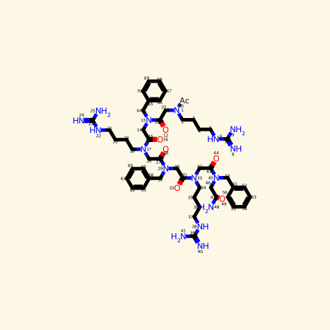 CC(=O)N(CCCCNC(=N)N)CC(=O)N(CC(=O)N(CCCCNC(=N)N)CC(=O)N(CC(=O)N(CCCCNC(=N)N)CC(=O)N(CC(N)=O)Cc1ccccc1)Cc1ccccc1)Cc1ccccc1